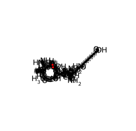 CCCC[C@H](NC(=O)[C@@H]1CCCN1C(=O)[C@H](CC(N)=O)NC(=O)[C@H](CC(N)=O)NC(=O)COCCOCCNC(=O)CCCCCCCCCCCCCCC(=O)O)C(=O)N[C@H]1CCC(=O)NCCCC[C@@H](C(C)=O)NC(=O)[C@H](Cc2c[nH]c3ccccc23)NC(=O)[C@H](CCCNC(=N)N)NC(=O)[C@@H](Cc2ccccc2)NC(=O)[C@@H]2C[C@@H](O)CN2C1=O